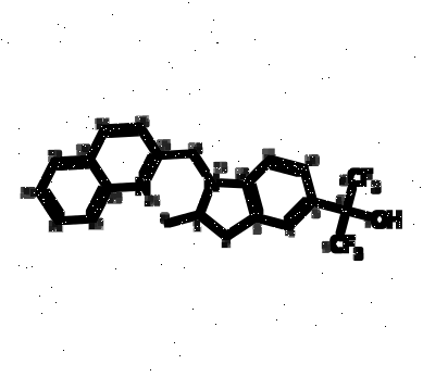 CC1Cc2cc(C(O)(C(F)(F)F)C(F)(F)F)ccc2N1Cc1ccc2ccccc2n1